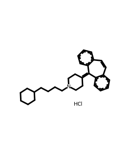 C1=Cc2ccccc2C(=C2CCN(CCCCC3CCCCC3)CC2)c2ccccc21.Cl